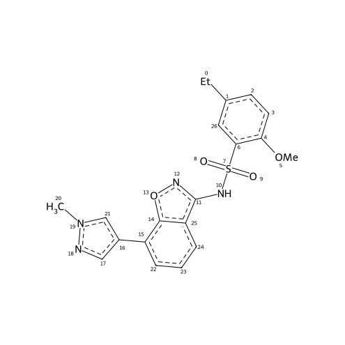 CCc1ccc(OC)c(S(=O)(=O)Nc2noc3c(-c4cnn(C)c4)cccc23)c1